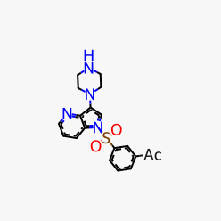 CC(=O)c1cccc(S(=O)(=O)n2cc(N3CCNCC3)c3ncccc32)c1